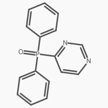 O=P(c1ccccc1)(c1ccccc1)c1ccncn1